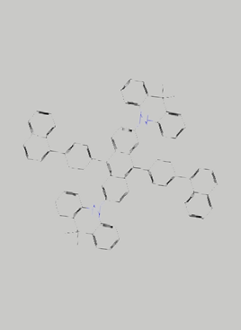 CC1(C)C2=C(C=CCC2)N(c2ccc3c(C4=CC=C(c5cccc6ccccc56)CC4)c4cc(N5c6ccccc6C(C)(C)c6ccccc65)ccc4c(C4=CC=C(c5cccc6ccccc56)CC4)c3c2)c2ccccc21